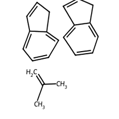 C1=Cc2ccccc2C1.C1=Cc2ccccc2C1.C=C(C)C